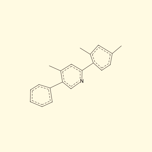 Cc1ccc(-c2cc(C)c(-c3ccccc3)cn2)c(C)c1